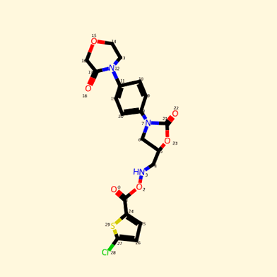 O=C(ONCC1CN(c2ccc(N3CCOCC3=O)cc2)C(=O)O1)c1ccc(Cl)s1